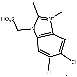 Cc1n(CS(=O)(=O)O)c2cc(Cl)c(Cl)cc2[n+]1C